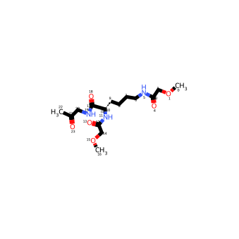 COCC(=O)NCCCC[C@H](NC(=O)COC)C(=O)NCC(C)=O